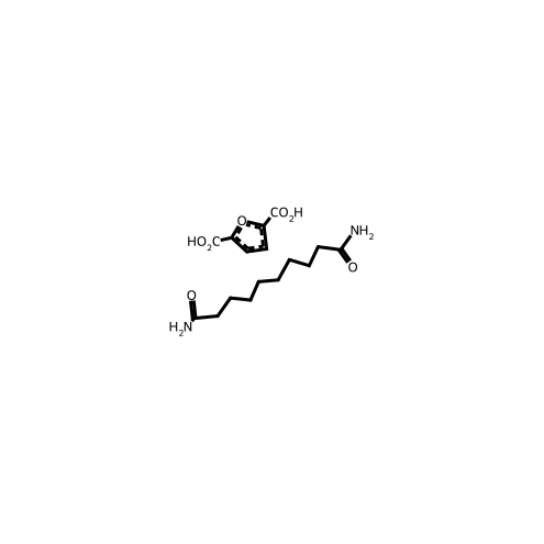 NC(=O)CCCCCCCCC(N)=O.O=C(O)c1ccc(C(=O)O)o1